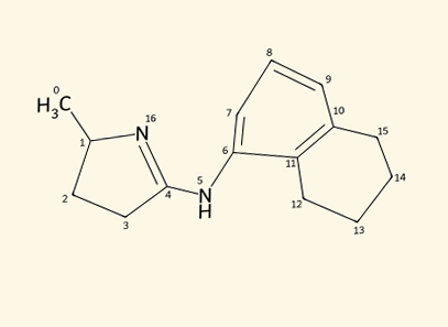 CC1CCC(Nc2cccc3c2CCCC3)=N1